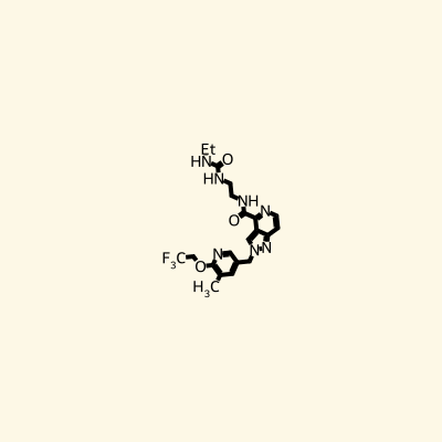 CCNC(=O)NCCNC(=O)c1nccc2nn(Cc3cnc(OCC(F)(F)F)c(C)c3)cc12